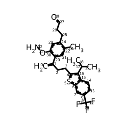 C=C(CCc1sc2cc(C(F)(F)F)ccc2c1C(C)C)c1cc(C)c(CCC=O)cc1ON